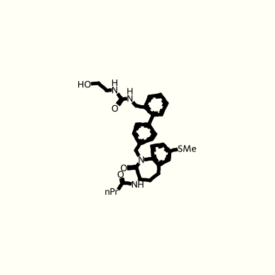 CCCC(=O)N[C@@H]1CCc2cc(SC)ccc2N(Cc2ccc(-c3ccccc3CNC(=O)NCCO)cc2)C1=O